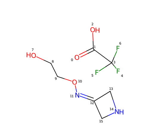 O=C(O)C(F)(F)F.OCCON=C1CNC1